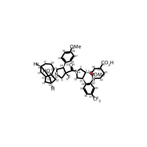 COC[C@H]1CN(C(=O)[C@]2(F)CN([C@@H]3[C@@H]4CC5C[C@@H]3CCC[C@@]5(O)C4)C[C@H]2c2ccc(OC)cc2)C[C@@H]1c1ccc(C(F)(F)F)cc1N1CCC(C(=O)O)CC1